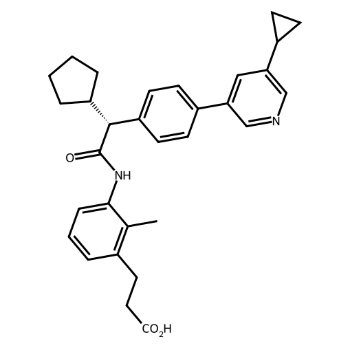 Cc1c(CCC(=O)O)cccc1NC(=O)[C@@H](c1ccc(-c2cncc(C3CC3)c2)cc1)C1CCCC1